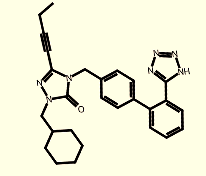 CCC#Cc1nn(CC2CCCCC2)c(=O)n1Cc1ccc(-c2ccccc2-c2nnn[nH]2)cc1